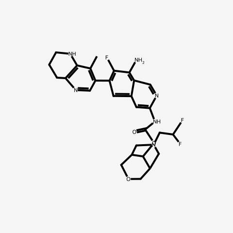 Cc1c(-c2cc3cc(NC(=O)OC4C5COCC4CN(CC(F)F)C5)ncc3c(N)c2F)cnc2c1NCCC2